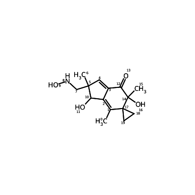 CC1=C2C(=CC(C)(CNO)C2O)C(=O)C(C)(O)C12CC2